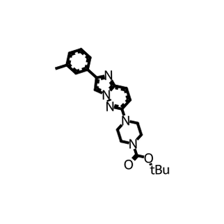 Cc1cccc(-c2cn3nc(N4CCN(C(=O)OC(C)(C)C)CC4)ccc3n2)c1